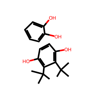 CC(C)(C)c1c(O)ccc(O)c1C(C)(C)C.Oc1ccccc1O